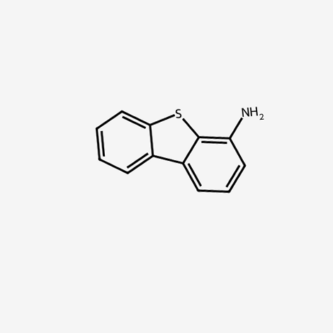 Nc1cccc2c1sc1ccccc12